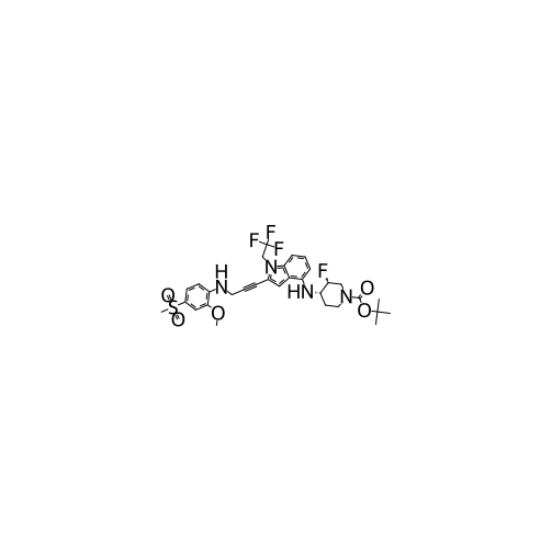 COc1cc(S(C)(=O)=O)ccc1NCC#Cc1cc2c(N[C@H]3CCN(C(=O)OC(C)(C)C)C[C@@H]3F)cccc2n1CC(F)(F)F